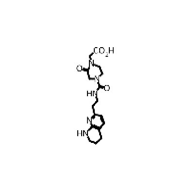 O=C(O)CN1CCN(C(=O)NCCc2ccc3c(n2)NCCC3)CC1=O